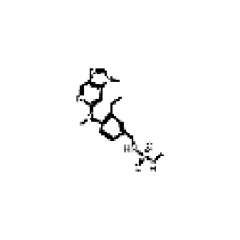 CCc1cc(CNS(=O)(=O)NC)ccc1N(C)c1cc2c(cn1)ncn2C